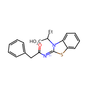 CCC(C(=O)O)n1/c(=N\C(=O)Cc2ccccc2)sc2ccccc21